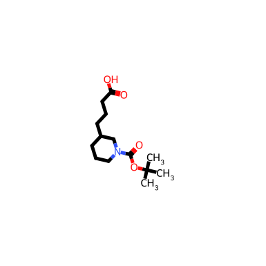 CC(C)(C)OC(=O)N1CCCC(CCCC(=O)O)C1